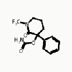 NC(=O)OC1(c2ccccc2)CCCN(C(F)(F)F)C1=O